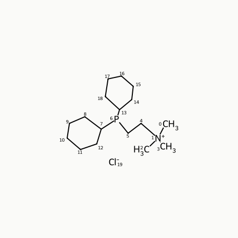 C[N+](C)(C)CCP(C1CCCCC1)C1CCCCC1.[Cl-]